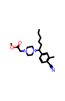 CCCCCC(c1ccc(C#N)c(C)c1)N1CCN(CC(=O)OC)CC1